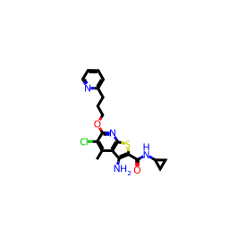 Cc1c(Cl)c(OCCCc2ccccn2)nc2sc(C(=O)NC3CC3)c(N)c12